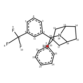 OC1(c2cccc(C(F)(F)F)c2)CC2CCC(C1)N2Cc1ccccc1